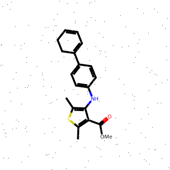 COC(=O)c1c(C)sc(C)c1Nc1ccc(C2=CC=CCC2)cc1